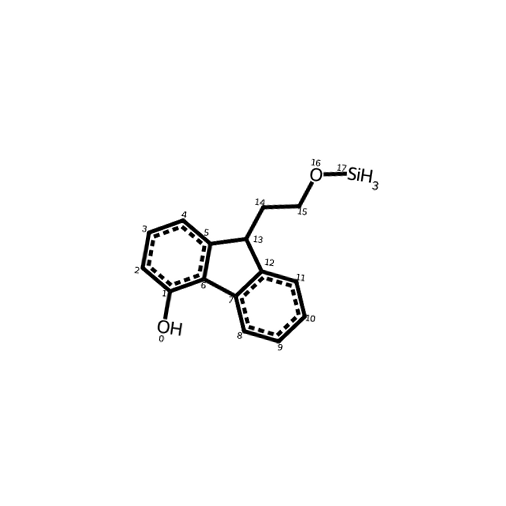 Oc1cccc2c1-c1ccccc1C2CCO[SiH3]